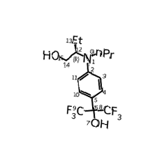 CCCN(c1ccc(C(O)(C(F)(F)F)C(F)(F)F)cc1)[C@H](CC)CO